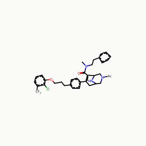 CC(=O)N1CC2CC(c3ccc(CCCOc4cccc(C(F)(F)F)c4Cl)cc3)=C(C(=O)N(C)CCc3ccccc3)C(C1)N2